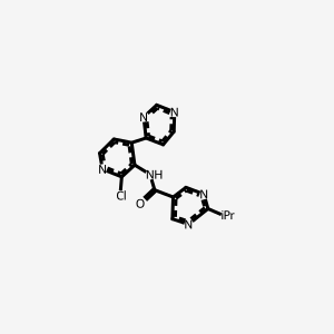 CC(C)c1ncc(C(=O)Nc2c(-c3ccncn3)ccnc2Cl)cn1